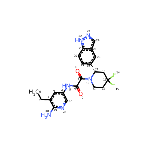 CCc1cc(NC(=O)C(=O)N2CCC(F)(F)C[C@H]2c2ccc3[nH]ncc3c2)cnc1N